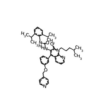 CC(C)CCCn1c(=O)c(NC(=O)Nc2c(C(C)C)cccc2C(C)C)c(-c2cccc(OCc3ccncc3)c2)c2cccnc21